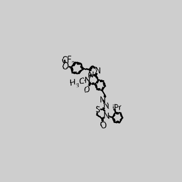 CC(C)c1ccccc1N1C(=O)CSC1=NN=Cc1ccc2c(c1)c(=O)n(C)n1c(-c3ccc(OC(F)(F)F)cc3)cnc21